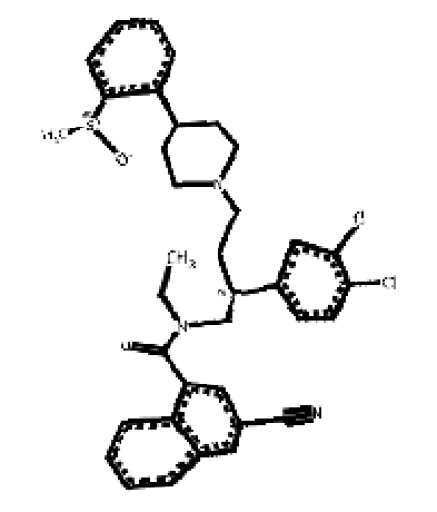 CCN(C[C@@H](CCN1CCC(c2ccccc2[S@+](C)[O-])CC1)c1ccc(Cl)c(Cl)c1)C(=O)c1cc(C#N)cc2ccccc12